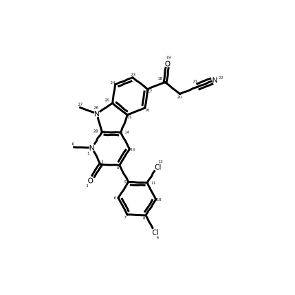 Cn1c(=O)c(-c2ccc(Cl)cc2Cl)cc2c3cc(C(=O)CC#N)ccc3n(C)c21